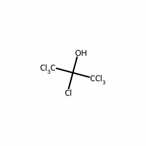 OC(Cl)(C(Cl)(Cl)Cl)C(Cl)(Cl)Cl